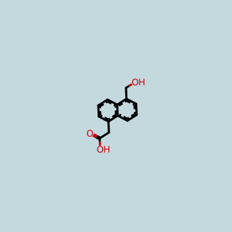 O=C(O)Cc1cccc2c(CO)cccc12